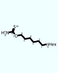 CCCCCCCCCCCCOC(N)=S